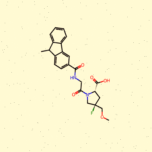 COC[C@@]1(F)C[C@@H](C(=O)O)N(C(=O)CNC(=O)c2ccc3c(c2)-c2ccccc2C3C)C1